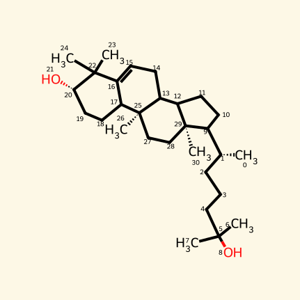 C[C@H](CCCC(C)(C)O)C1CCC2C3CC=C4C(CC[C@H](O)C4(C)C)[C@]3(C)CC[C@@]21C